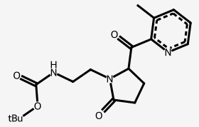 Cc1cccnc1C(=O)C1CCC(=O)N1CCNC(=O)OC(C)(C)C